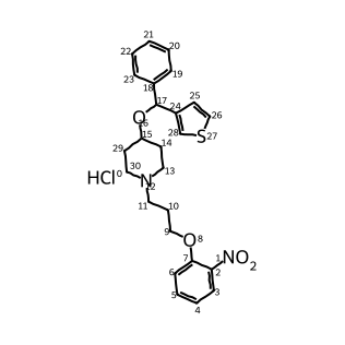 Cl.O=[N+]([O-])c1ccccc1OCCCN1CCC(OC(c2ccccc2)c2ccsc2)CC1